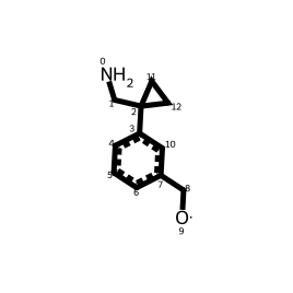 NCC1(c2cccc(C[O])c2)CC1